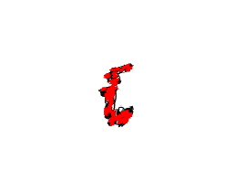 Cc1cc(C)c(OP2Oc3c(C)cc(C)cc3C(C)(C)O2)c(Cc2cc(C)cc(C)c2OP2Oc3c(C)cc(CCc4cc(C)c5c(c4)C(C)(c4ccccc4)OP(Oc4c(C)cc(C)cc4Cc4cc(C)cc(C)c4OP4Oc6c(C)cc(C)cc6C(C)(c6ccccc6)O4)O5)cc3C(C)(C)O2)c1